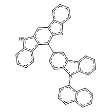 c1ccc2c(-n3c4ccccc4c4cc(-c5c6sc7ccccc7c6cc6[nH]c7ccccc7c56)ccc43)cccc2c1